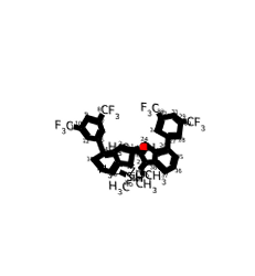 CC1=Cc2c(-c3cc(C(F)(F)F)cc(C(F)(F)F)c3)cccc2[CH]1[Zr]([CH3])([CH3])([CH]1C(C)=Cc2c(-c3cc(C(F)(F)F)cc(C(F)(F)F)c3)cccc21)[SiH](C)C